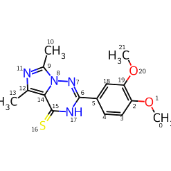 COc1ccc(-c2nn3c(C)nc(C)c3c(=S)[nH]2)cc1OC